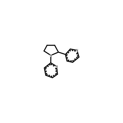 c1ccc(N2CCCC2c2cccnc2)nc1